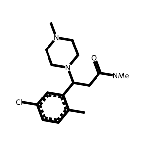 CNC(=O)CC(c1cc(Cl)ccc1C)N1CCN(C)CC1